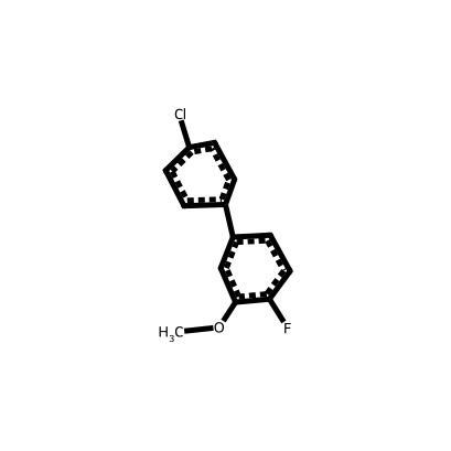 COc1cc(-c2ccc(Cl)cc2)ccc1F